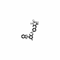 C=C1NC(=O)NC(=C)C1=Cc1ccc(N(C)Cc2cc(C)cc(-n3nc4ccccc4n3)c2C)cc1